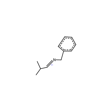 CC(C)/C=N/Cc1ccccc1